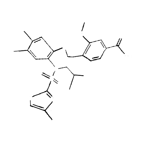 COc1cc(C(=O)O)ccc1COc1cc(C)c(C)cc1N(CC(C)C)S(=O)(=O)c1nc(C)cs1